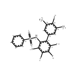 O=S(=O)(Nc1c(F)c(F)c(F)c(F)c1-c1cc(C(F)(F)F)c(F)c(C(F)(F)F)c1)c1ccccc1